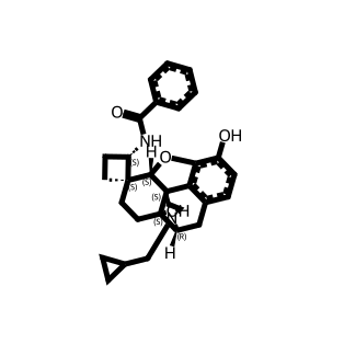 O=C(N[C@H]1CC[C@]12CC[C@@]1(O)[C@H]3Cc4ccc(O)c5c4[C@@]1(CCN3CC1CC1)[C@H]2O5)c1ccccc1